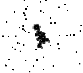 C=CCOC(=O)C1=C(C)C[S+]([O-])[C@H]2C(NC(=O)COc3ccccc3)C(=O)N12